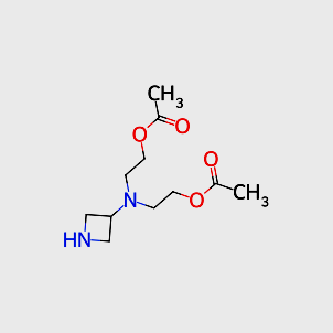 CC(=O)OCCN(CCOC(C)=O)C1CNC1